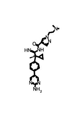 CN(C)CCn1cc(C(=O)NC(=N)[C@@](C)(c2ccc(-c3cnc(N)nc3)cc2)C2CC2)cn1